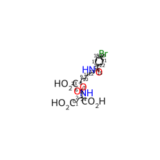 O=C(O)CC[C@H](NC(=O)O[C@@H](CCCCNC(=O)c1ccc(Br)cc1)C(=O)O)C(=O)O